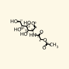 CC(=O)OCC(=O)N[C@@H](C=O)[C@@H](O)[C@H](O)[C@H](O)CO